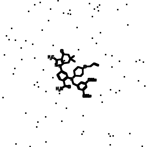 C=CCOC1CCC(N(Cc2cc(OC)cc(OC)c2)c2cc(-n3nc(C(F)(F)F)c4c3CC(C)(C)CC4=O)ccc2C(N)=O)CC1